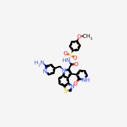 COc1ccc(S(=O)(=O)NC(=O)c2c(-c3ccc[nH]c3=O)c3c4ncsc4ccc3n2Cc2ccnc(N)c2)cc1